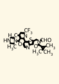 Cc1cc(C(F)(F)F)nc(-c2ccnc3cc(CN(C=O)C(=O)C4C(C)C4(C)C)sc23)c1C(=O)N1CCNCC1C